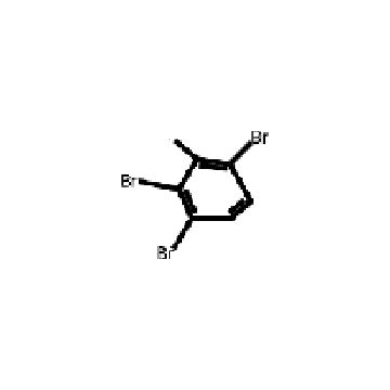 [CH2]c1c(Br)ccc(Br)c1Br